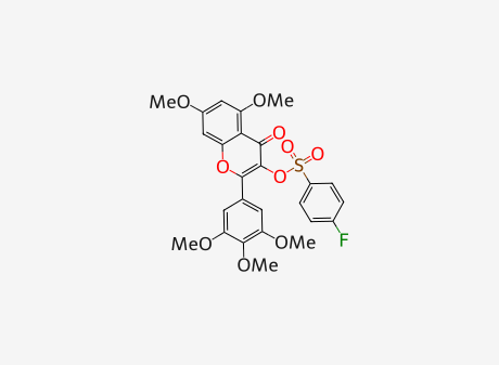 COc1cc(OC)c2c(=O)c(OS(=O)(=O)c3ccc(F)cc3)c(-c3cc(OC)c(OC)c(OC)c3)oc2c1